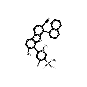 Cc1ccc2c(oc3c(-c4cccc5ccccc45)c(C#N)ccc32)c1-c1cc(F)c([Si](C)(C)C)c[n+]1C